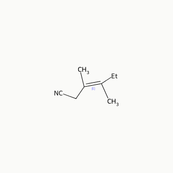 CC/C(C)=C(\C)CC#N